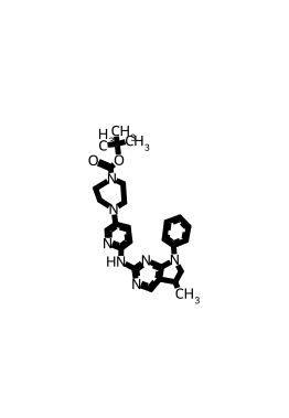 CC1CN(c2ccccc2)c2nc(Nc3ccc(N4CCN(C(=O)OC(C)(C)C)CC4)cn3)ncc21